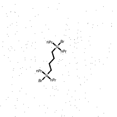 CCC[Si](Br)(CCC)CCCC[Si](Br)(CCC)CCC